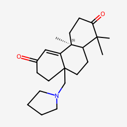 CC1(C)C(=O)CC[C@]2(C)C3=CC(=O)CCC3(CN3CCCC3)CCC12